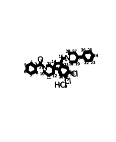 Cl.O=C(c1ccccc1)N1CCCC(CCCN2CCC(c3ccccc3)CC2)(c2ccc(Cl)c(Cl)c2)C1